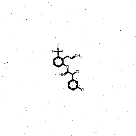 C=CCc1c(OC(=N)C(Cl)c2cccc(Cl)c2)cccc1C(F)(F)F